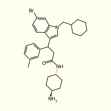 Cc1cccc(C(CC(=O)N[C@H]2CC[C@H](N)CC2)c2cn(CC3CCCCC3)c3cc(Br)ccc23)c1